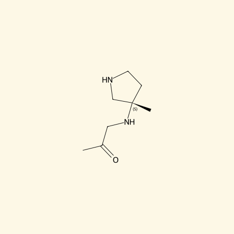 CC(=O)CN[C@@]1(C)CCNC1